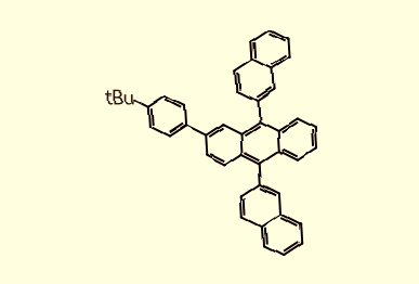 CC(C)(C)c1ccc(-c2ccc3c(-c4ccc5ccccc5c4)c4ccccc4c(-c4ccc5ccccc5c4)c3c2)cc1